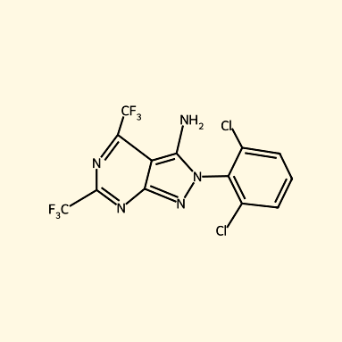 Nc1c2c(C(F)(F)F)nc(C(F)(F)F)nc2nn1-c1c(Cl)cccc1Cl